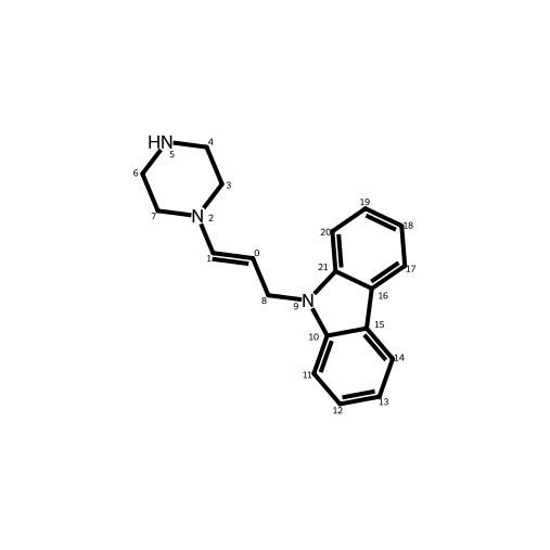 C(=CN1CCNCC1)Cn1c2ccccc2c2ccccc21